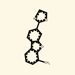 Cc1cccc2c1oc1cc(-c3ncco3)ccc12